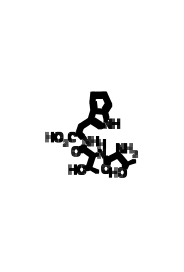 C[C@@H](O)[C@H](N)C(=O)N[C@H](C(=O)N[C@@H](Cc1c[nH]c2ccccc12)C(=O)O)[C@@H](C)O